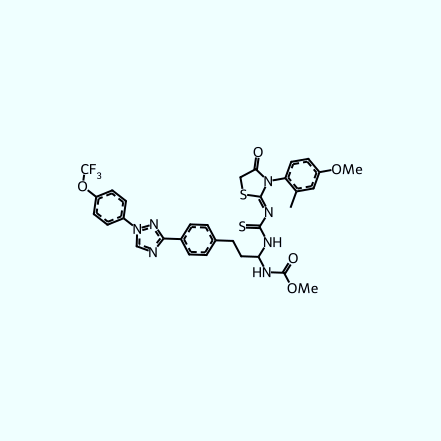 COC(=O)NC(CCc1ccc(-c2ncn(-c3ccc(OC(F)(F)F)cc3)n2)cc1)NC(=S)/N=C1\SCC(=O)N1c1ccc(OC)cc1C